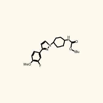 COc1ccc(-c2ccn(C3CCC(NC(=O)OC(C)(C)C)CC3)n2)cc1F